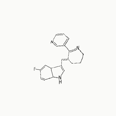 FC1=CC2C(/C=C3\CCCN=C3c3cccnc3)=CNC2C=C1